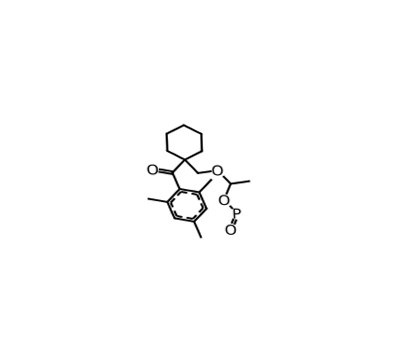 Cc1cc(C)c(C(=O)C2(COC(C)OP=O)CCCCC2)c(C)c1